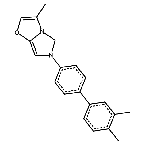 CC1=COC2=CN(c3ccc(-c4ccc(C)c(C)c4)cc3)CN12